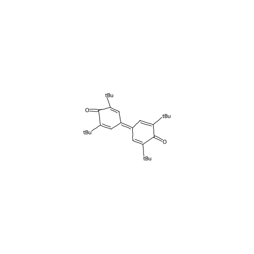 CC(C)(C)C1=CC(=C2C=C(C(C)(C)C)C(=O)C(C(C)(C)C)=C2)C=C(C(C)(C)C)C1=O